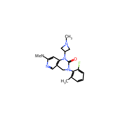 CNc1cc2c(cn1)CN(c1c(C)cccc1F)C(=O)N2C1CN(C)C1